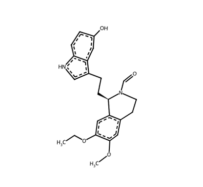 CCOc1cc2c(cc1OC)CCN(C=O)[C@@H]2CCc1c[nH]c2ccc(O)cc12